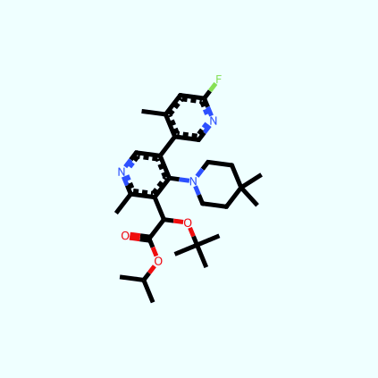 Cc1cc(F)ncc1-c1cnc(C)c(C(OC(C)(C)C)C(=O)OC(C)C)c1N1CCC(C)(C)CC1